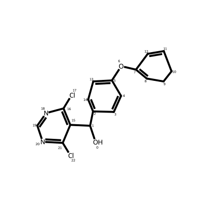 OC(c1ccc(OC2=CCCC=C2)cc1)c1c(Cl)ncnc1Cl